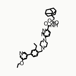 CCOc1cncc(-c2ccc(CN3CCN(c4ccc(C(=O)NS(=O)(=O)CC56CC7CC(CC(C7)C5)C6)nn4)CC3)c(CC)c2)c1